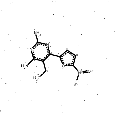 CCc1c(N)nc(N)nc1-c1ccc([N+](=O)[O-])o1